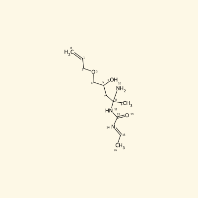 C=CCOCC(O)CC(C)(N)NC(=O)N=CC